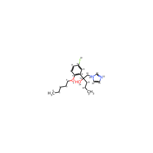 CCCCCOc1ccc(F)cc1C(O)(CCC)Cn1ccnc1